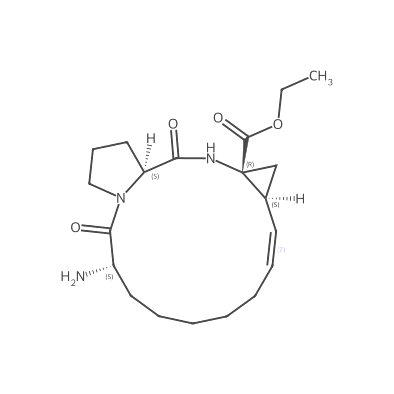 CCOC(=O)[C@@]12C[C@H]1/C=C\CCCCC[C@H](N)C(=O)N1CCC[C@H]1C(=O)N2